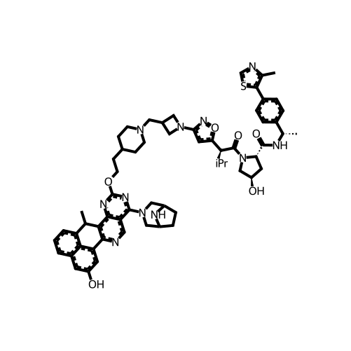 Cc1ncsc1-c1ccc([C@H](C)NC(=O)[C@@H]2C[C@@H](O)CN2C(=O)[C@H](c2cc(N3CC(CN4CCC(CCOc5nc(N6CC7CCC(C6)N7)c6cnc7c(c6n5)C(C)c5cccc6cc(O)cc-7c56)CC4)C3)no2)C(C)C)cc1